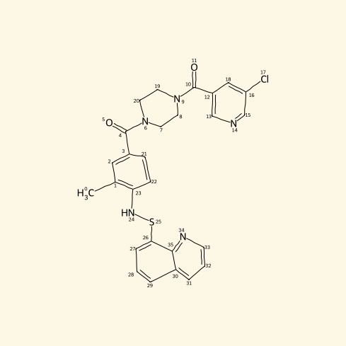 Cc1cc(C(=O)N2CCN(C(=O)c3cncc(Cl)c3)CC2)ccc1NSc1cccc2cccnc12